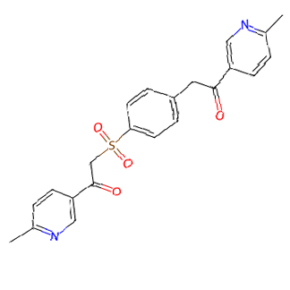 Cc1ccc(C(=O)Cc2ccc(S(=O)(=O)CC(=O)c3ccc(C)nc3)cc2)cn1